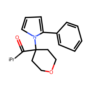 CC(C)C(=O)C1(n2cccc2-c2ccccc2)CCOCC1